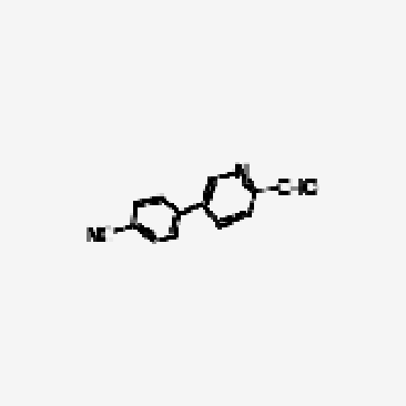 N#Cc1ccc(-c2ccc(C=O)nc2)cc1